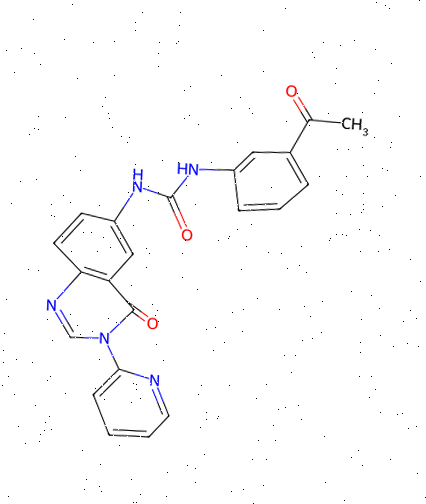 CC(=O)c1cccc(NC(=O)Nc2ccc3ncn(-c4ccccn4)c(=O)c3c2)c1